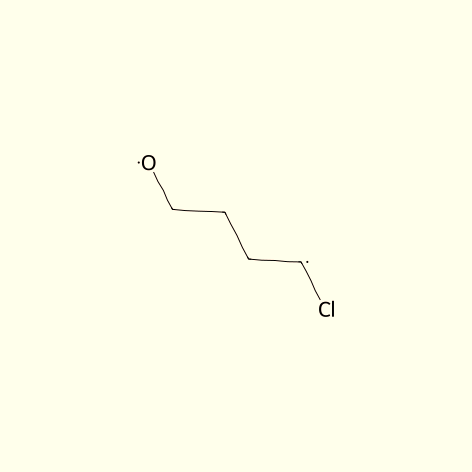 [O]CCC[CH]Cl